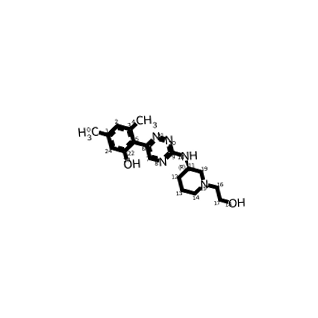 Cc1cc(C)c(-c2cnc(N[C@@H]3CCCN(CCO)C3)nn2)c(O)c1